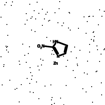 O=[N+]([O-])c1ncc[nH]1.[Zn]